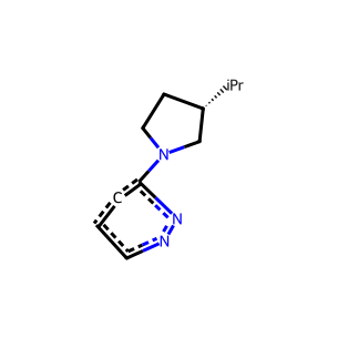 CC(C)[C@H]1CCN(c2cccnn2)C1